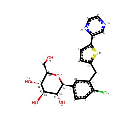 OC[C@H]1O[C@@H](c2ccc(Cl)c(Cc3ccc(-c4cnccn4)s3)c2)[C@H](O)[C@@H](O)[C@@H]1O